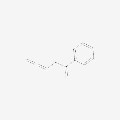 C=C=CCC(=O)c1ccccc1